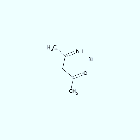 CC(=N)CC(C)=O.[Ni]